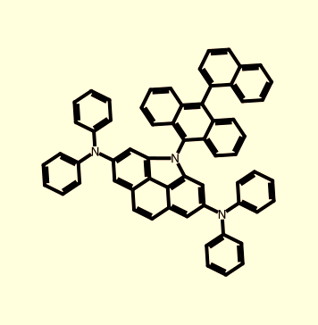 c1ccc(N(c2ccccc2)c2cc3ccc4cc(N(c5ccccc5)c5ccccc5)cc5c4c3c(c2)n5-c2c3ccccc3c(-c3cccc4ccccc34)c3ccccc23)cc1